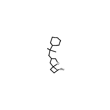 CC(C)(C)C1CCC12CC(CC(C)(C)C1CCCCC1)CO2